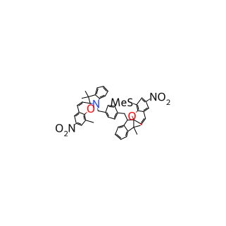 CSc1cc([N+](=O)[O-])cc2c1OC1(C=C2)C(Cc2ccc(CN3c4ccccc4C(C)(C)C34C=Cc3cc([N+](=O)[O-])cc(C)c3O4)cc2)c2ccccc2C1(C)C